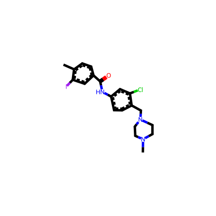 Cc1ccc(C(=O)Nc2ccc(CN3CCN(C)CC3)c(Cl)c2)cc1I